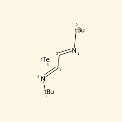 CC(C)(C)N=CC=NC(C)(C)C.[Te]